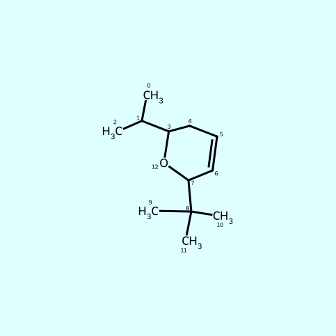 CC(C)C1CC=CC(C(C)(C)C)O1